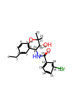 CCc1ccc2c(c1)[C@H](NC(=O)c1cccc(Br)c1)[C@@H](O)C(C)(C)O2